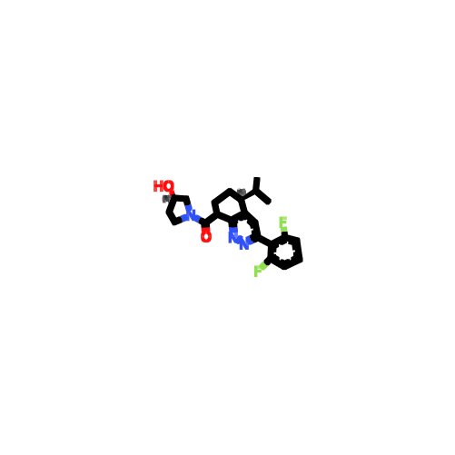 CC(C)[C@@H]1CCC(C(=O)N2CC[C@@H](O)C2)c2nnc(-c3c(F)cccc3F)cc21